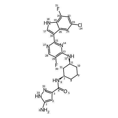 Nc1cc(C(=O)N[C@@H]2CCC[C@H](Nc3nc(-c4c[nH]c5c(F)cc(Cl)cc45)ncc3F)C2)n[nH]1